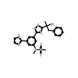 CN(c1cc(-c2ncc[nH]2)cc(-c2nnc(C(C)(N)Cc3ccccc3)o2)c1)S(C)(=O)=O